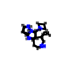 CC1CNCCc2nc3ccnn3c(N3CCC3)c21